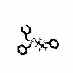 C/C=C\C(=C/C)CN(Cc1ccccc1)OC(F)(F)C(F)(F)Sc1ccccc1